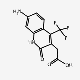 Nc1ccc2c(C(F)(F)F)c(CC(=O)O)c(=O)[nH]c2c1